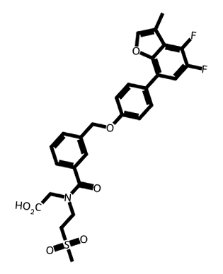 Cc1coc2c(-c3ccc(OCc4cccc(C(=O)N(CCS(C)(=O)=O)CC(=O)O)c4)cc3)cc(F)c(F)c12